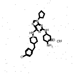 Cl.Cl.Cl.NC1CCC(Nc2nc(NN3CCC(Cc4ccc(Cl)cc4)CC3)c3ncn(C4CCCC4)c3n2)CC1